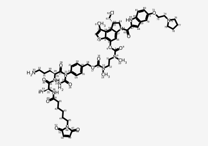 Cc1csc2c(OC(=O)N(C)CCN(C)C(=O)OCc3ccc(N(C(N)=O)C(=O)[C@H](CCCN)NC(=O)[C@@H](NC(=O)CCCCCN4C(=O)C=CC4=O)C(C)C)cc3)cc3c(c12)[C@H](CCl)CN3C(=O)c1cc2cc(OCCN3CCCC3)ccc2[nH]1